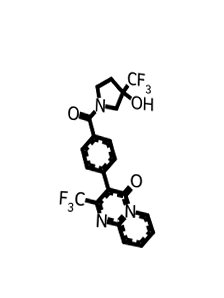 O=C(c1ccc(-c2c(C(F)(F)F)nc3ccccn3c2=O)cc1)N1CCC(O)(C(F)(F)F)C1